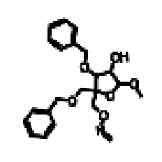 C=NOCC1(COCc2ccccc2)OC(OC)C(O)C1OCc1ccccc1